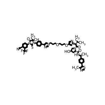 Cc1ncsc1-c1ccc([C@H](C)NC(=O)[C@@H]2C[C@@H](O)CN2C(=O)[C@H](C(C)C)n2cc(OCCCOCCCn3cnc(-c4ccc(N5C(=S)N(c6ccc(C#N)c(C(F)(F)F)c6)C(=O)C5(C)C)cc4)c3)cn2)cc1